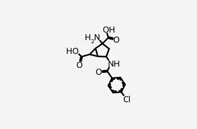 NC1(C(=O)O)CC(NC(=O)c2ccc(Cl)cc2)C2C(C(=O)O)C21